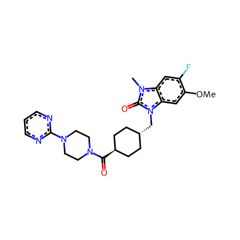 COc1cc2c(cc1F)n(C)c(=O)n2C[C@H]1CC[C@H](C(=O)N2CCN(c3ncccn3)CC2)CC1